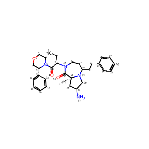 N#CC[C@H](C(=O)N1CCOC[C@H]1c1ccccc1)N1CCC(CCc2ccccc2)N2C[C@H](N)C[C@H]2C1=O